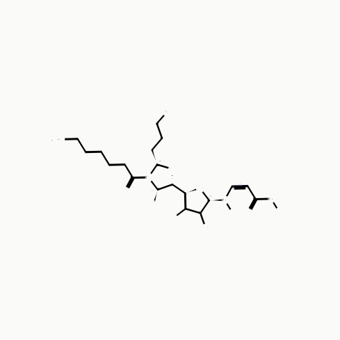 CCCCCCCCCCCCCCCC(=O)N1[C@H](C(=O)O)[C@@H]([C@H]2O[C@@H](N(C)/C=C\C(=O)NC=O)C(O)C2O)O[C@@H]1CCCN